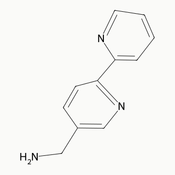 NCc1ccc(-c2ccccn2)nc1